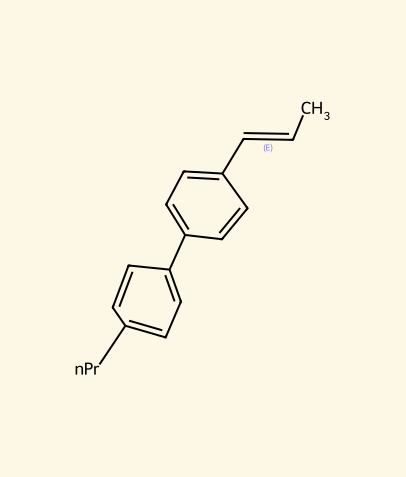 C/C=C/c1ccc(-c2ccc(CCC)cc2)cc1